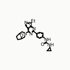 CCn1ncc2c(N3CC4CCC(C3)O4)nc(-c3ccc(NC(=O)NC4CC4)cc3)nc21